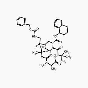 C[C@@H](C(=O)N[C@H](C(=O)N1CCN(C(=O)CNC(=O)OCc2ccccc2)C[C@H]1C(=O)N[C@@H]1CCCc2ccccc21)C(C)(C)C)N(C)C(=O)OC(C)(C)C